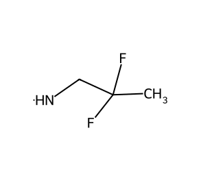 CC(F)(F)C[NH]